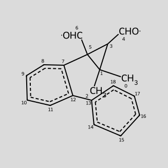 CC1(C)C([C]=O)C1([C]=O)c1ccccc1-c1ccccc1